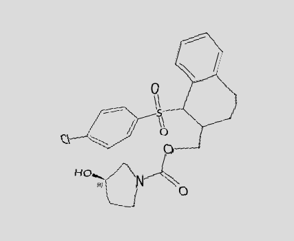 O=C(OCC1CCc2ccccc2C1S(=O)(=O)c1ccc(Cl)cc1)N1CC[C@@H](O)C1